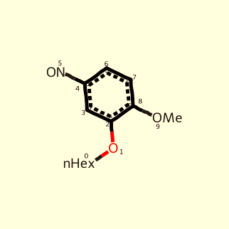 CCCCCCOc1cc(N=O)ccc1OC